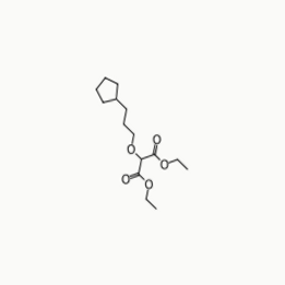 CCOC(=O)C(OCCCC1CCCC1)C(=O)OCC